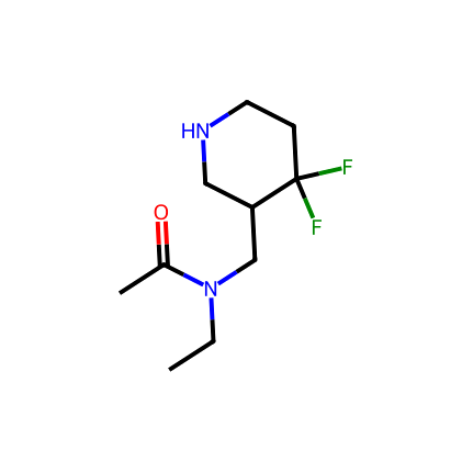 CCN(CC1CNCCC1(F)F)C(C)=O